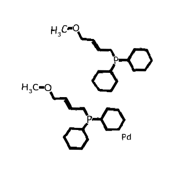 COCC=CCP(C1CCCCC1)C1CCCCC1.COCC=CCP(C1CCCCC1)C1CCCCC1.[Pd]